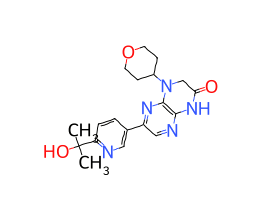 CC(C)(O)c1ccc(-c2cnc3c(n2)N(C2CCOCC2)CC(=O)N3)cn1